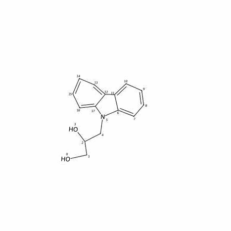 OCC(O)Cn1c2ccccc2c2ccccc21